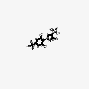 CS(=O)(=O)c1cn(-c2c(Cl)cc(C(F)(F)F)cc2Cl)nc1Br